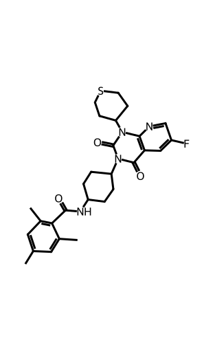 Cc1cc(C)c(C(=O)NC2CCC(n3c(=O)c4cc(F)cnc4n(C4CCSCC4)c3=O)CC2)c(C)c1